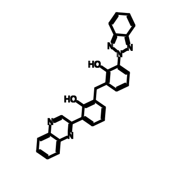 Oc1c(Cc2cccc(-n3nc4ccccc4n3)c2O)cccc1-c1cnc2ccccc2n1